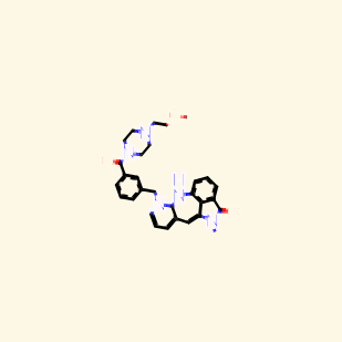 COCCN1CCN(C(=O)c2cccc(CN3C=CC=C4C=C5c6c(cccc6C(=O)N5C)NC43)c2)CC1